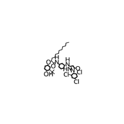 CCCCCCCCCCC(Oc1ccc(O)c(C(C)(C)C)c1)C(=O)Nc1cccc(Nc2cc(=O)n(-c3c(Cl)cc(Cl)cc3Cl)[nH]2)c1